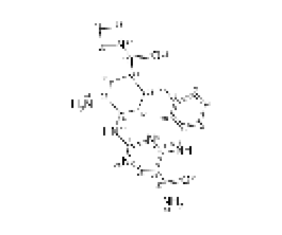 Cc1cccc(Nc2nc(N[C@H]3CC[C@H](C(=O)N4CCC4)C[C@H]3N)ncc2C(N)=O)c1